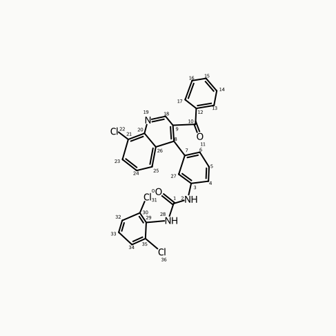 O=C(Nc1cccc(-c2c(C(=O)c3ccccc3)cnc3c(Cl)cccc23)c1)Nc1c(Cl)cccc1Cl